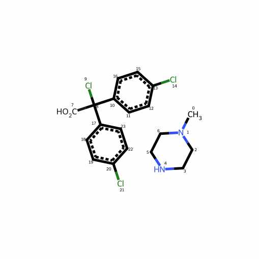 CN1CCNCC1.O=C(O)C(Cl)(c1ccc(Cl)cc1)c1ccc(Cl)cc1